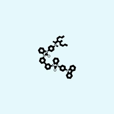 C=C/C=C\C(=C)C(/C=C\C=C)=C(/C)N(C)c1ccc(-n2c(=O)n(-c3cccc(-c4cccc(-n5c(=O)n(-c6ccc(-n7c8ccccc8c8ccccc87)cc6)c6ccccc65)c4)c3)c3ccccc32)cc1